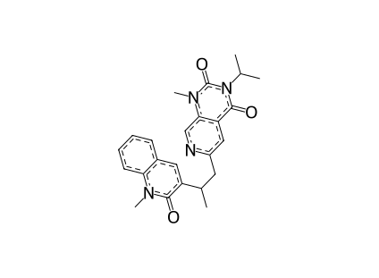 CC(Cc1cc2c(=O)n(C(C)C)c(=O)n(C)c2cn1)c1cc2ccccc2n(C)c1=O